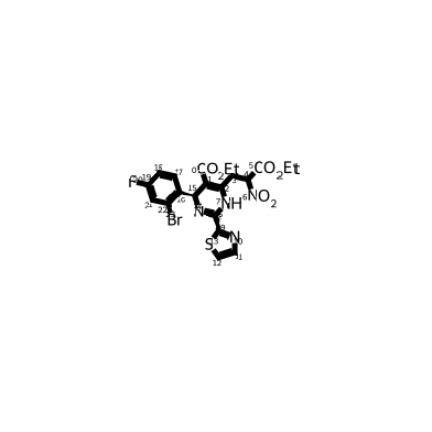 CCOC(=O)C1=C(CC(C(=O)OCC)[N+](=O)[O-])NC(c2nccs2)=N[C@H]1c1ccc(F)cc1Br